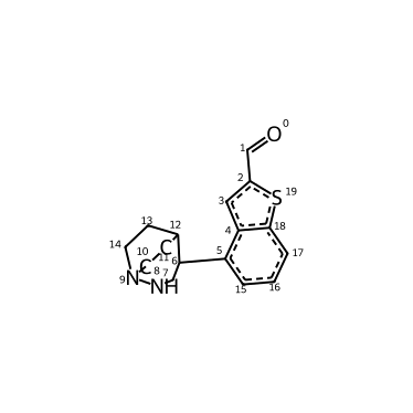 O=Cc1cc2c(C3CNN4CCC3CC4)cccc2s1